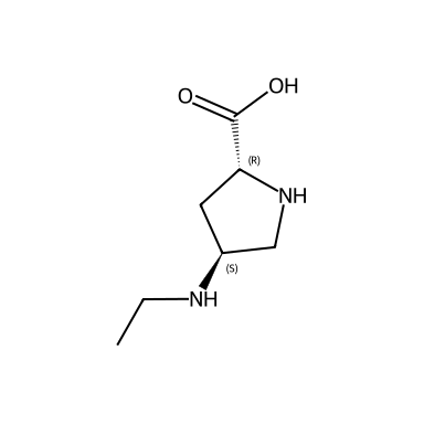 CCN[C@@H]1CN[C@@H](C(=O)O)C1